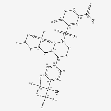 CC(C)CN(C[C@H]1CN(S(=O)(=O)C2=CC([N+](=O)[O-])=CCC2=S)CCN1c1ncc(C(O)(C(F)(F)F)C(F)(F)F)cn1)S(C)(=O)=O